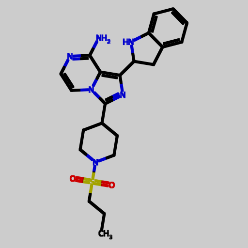 CCCS(=O)(=O)N1CCC(c2nc(C3Cc4ccccc4N3)c3c(N)nccn23)CC1